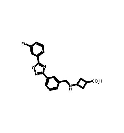 CCc1cccc(-c2nc(-c3cccc(CNC4CC(C(=O)O)C4)c3)no2)c1